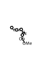 COCCOC(=O)c1ccc2c(c1)ncn2-c1cccc(N2CCN(Cc3ccccc3)CC2)c1